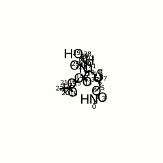 CNC(=O)OCc1csc(C2=C(C(=O)OCOC(=O)C(C)(C)C)N3C(=O)[C@H]([C@@H](C)O)[C@H]3C2)c1